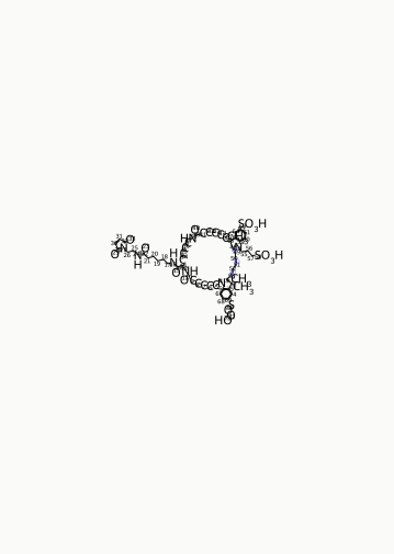 CC1(C)C2=[N+](CCCCCC(=O)NC(C(=O)NCCCCCC(=O)NCCN3C(=O)C=CC3=O)CCCCNC(=O)CCCCCC3(C)/C(=C/C=C/C=C/2)N(CCCS(=O)(=O)O)c2ccc(S(=O)(=O)O)cc23)c2ccc(SOOO)cc21